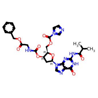 CC(C)C(=O)Nc1nc2c(ncn2[C@H]2C[C@@H](OC(=O)NCC(=O)OCc3ccccc3)[C@@H](COC(=O)n3ccnc3)O2)c(=O)[nH]1